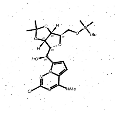 CNc1nc(Cl)nn2c([C@@H](O)[C@H]3O[C@H](CO[Si](C)(C)C(C)(C)C)[C@H]4OC(C)(C)O[C@@H]34)ccc12